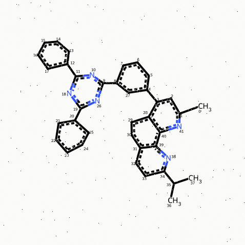 Cc1cc(-c2cccc(-c3nc(-c4ccccc4)nc(-c4ccccc4)n3)c2)c2ccc3ccc(C(C)C)nc3c2n1